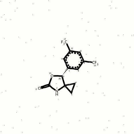 O=C1NC2(CC2)[C@@H](c2cc(C(F)(F)F)cc(C(F)(F)F)c2)O1